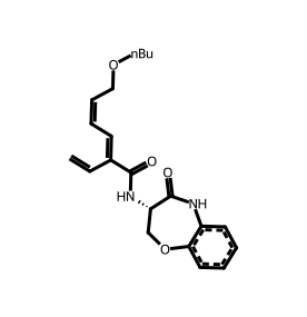 C=C/C(=C\C=C/COCCCC)C(=O)N[C@H]1COc2ccccc2NC1=O